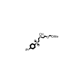 COCOCCN(C)CCS(=O)(=O)c1ccc(C(C)C)cc1